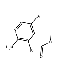 COC=O.Nc1ncc(Br)cc1Br